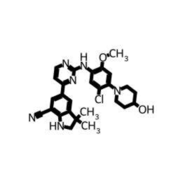 COc1cc(N2CCC(O)CC2)c(Cl)cc1Nc1nccc(-c2cc(C#N)c3c(c2)C(C)(C)CN3)n1